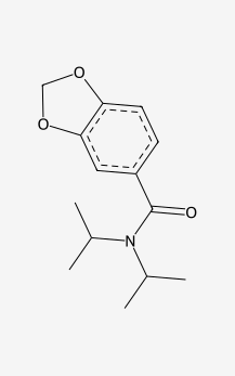 CC(C)N(C(=O)c1ccc2c(c1)OCO2)C(C)C